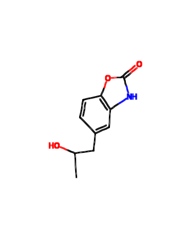 CC(O)Cc1ccc2oc(=O)[nH]c2c1